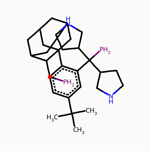 CC(C)(C)c1ccc(C23CC4CC(CC(C4)C2CP)C3)c(C(P)(C2CCNC2)C2CCNC2)c1